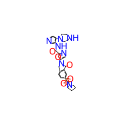 O=C(Nc1cnccc1N1CCNCC1)c1ncc(N2Cc3ccc(S(=O)(=O)N4CCCC4)cc3C2=O)o1